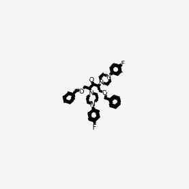 O=C(C(COCc1ccccc1)N1CCN(c2ccc(F)cc2)CC1)C(COCc1ccccc1)N1CCN(c2ccc(F)cc2)CC1